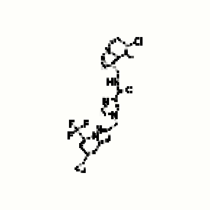 O=C(NCc1ncn2ccc(Cl)c(F)c12)c1cn(Cc2cc3cc(C4CC4)cc(C(F)(F)F)n3n2)nn1